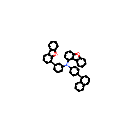 c1cc(-c2cccc3c2oc2ccccc23)cc(N(c2ccc(-c3cccc4ccccc34)cc2)c2cccc3oc4ccccc4c23)c1